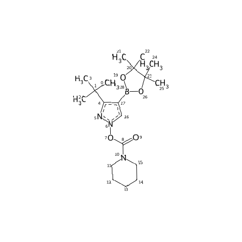 CC(C)(C)c1nn(OC(=O)N2CCCCC2)cc1B1OC(C)(C)C(C)(C)O1